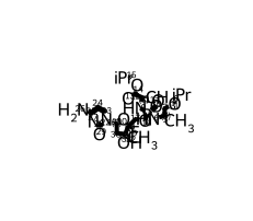 CC(C)OC(=O)[C@H](C)NP(=O)(N[C@@H](C)C(=O)OC(C)C)OC[C@@]1(F)O[C@@H](n2ccc(N)nc2=O)C[C@]1(C)O